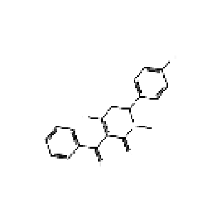 CN1C(=O)C(C(=N)c2ccccc2)=C(O)CC1c1ccc(Cl)cc1